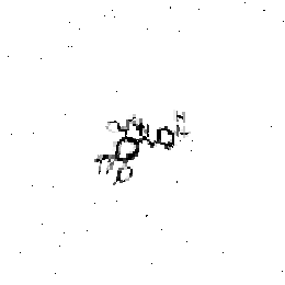 CNc1ccc(Cc2nn(C)c(=O)c3cc(OC)c(OC)cc23)cc1